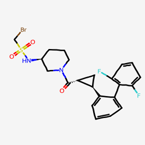 O=C([C@@H]1C[C@H]1c1ccccc1-c1c(F)cccc1F)N1CCC[C@H](NS(=O)(=O)CBr)C1